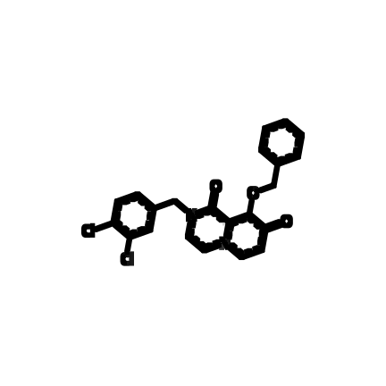 O=c1ccn2ccn(Cc3ccc(Cl)c(Cl)c3)c(=O)c2c1OCc1ccccc1